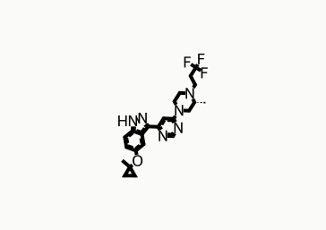 C[C@@H]1CN(c2cc(-c3n[nH]c4ccc(OC5(C)CC5)cc34)ncn2)CCN1CCC(F)(F)F